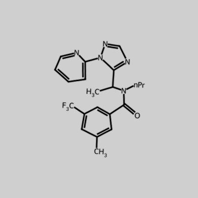 CCCN(C(=O)c1cc(C)cc(C(F)(F)F)c1)C(C)c1ncnn1-c1ccccn1